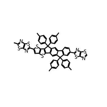 Cc1ccc(C2(c3ccc(C)cc3)c3cc(-c4nc5scnc5s4)ccc3-c3cc4c(cc32)-c2sc3cc(-c5nc6sc(C)nc6s5)sc3c2C4(c2ccc(C)cc2)c2ccc(C)cc2)cc1